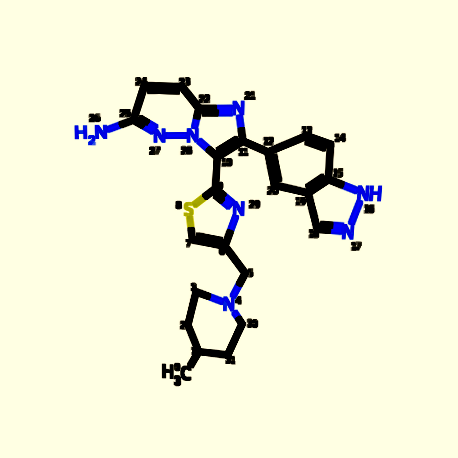 CC1CCN(Cc2csc(-c3c(-c4ccc5[nH]ncc5c4)nc4ccc(N)nn34)n2)CC1